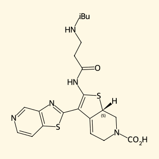 CCC(C)NCCC(=O)NC1=C(c2nc3cnccc3s2)C2=CCN(C(=O)O)C[C@H]2S1